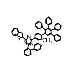 CC1C=C(c2nc(-c3cc4ccccc4s3)nc(-c3ccccc3-c3ccccc3)n2)C=CC1c1cc(-c2ccccc2)c(-c2ccccc2)c(-c2ccccc2)c1-c1ccccc1